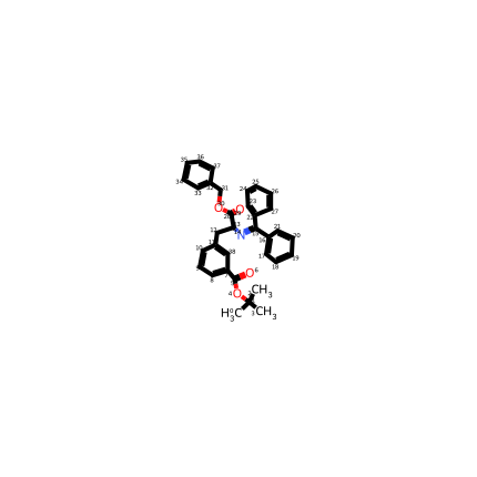 CC(C)(C)OC(=O)c1cccc(CC(N=C(c2ccccc2)c2ccccc2)C(=O)OCc2ccccc2)c1